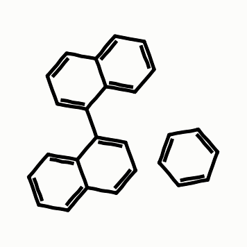 c1ccc2c(-c3cccc4ccccc34)cccc2c1.c1ccccc1